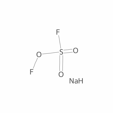 O=S(=O)(F)OF.[NaH]